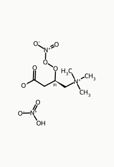 C[N+](C)(C)C[C@@H](CC(=O)[O-])OO[N+](=O)[O-].O=[N+]([O-])O